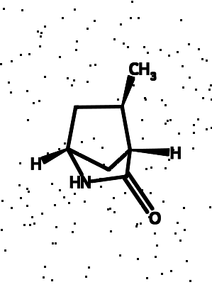 C[C@@H]1C[C@@H]2C[C@H]1C(=O)N2